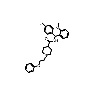 COc1ccccc1C(NC(=O)C1CCN(CCOc2ccccc2)CC1)c1ccc(Cl)cc1